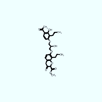 CCCc1c(OCC(O)COc2ccc3c(c2CCC)OC(C(=O)OC)C(=O)C3)ccc(C(C)=O)c1O